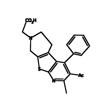 CC(=O)c1c(C)nc2sc3c(c2c1-c1ccccc1)CCN(CC(=O)O)C3